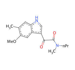 CCCN(C)C(=O)C(=O)c1c[nH]c2cc(C)c(OC)cc12